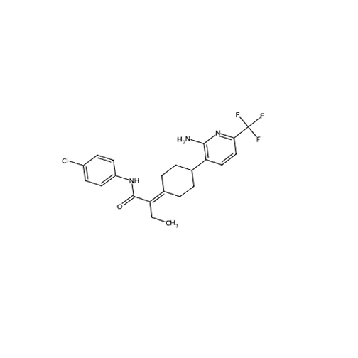 CCC(C(=O)Nc1ccc(Cl)cc1)=C1CCC(c2ccc(C(F)(F)F)nc2N)CC1